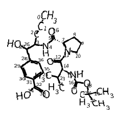 CCCC(NC(=O)[C@@H]1CCCN1C(=O)[C@@H](NC(=O)OC(C)(C)C)C(C)C)C(O)c1ccc(C(=O)O)cc1